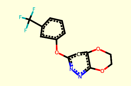 FC(F)(F)c1cccc(Oc2cc3c(nn2)OCCO3)c1